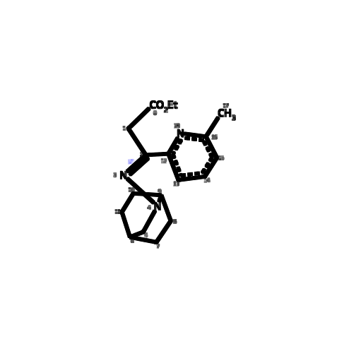 CCOC(=O)C/C(=N/N1CC2CCC1CC2)c1cccc(C)n1